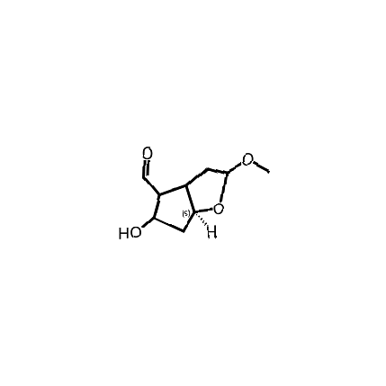 COC1CC2C(C=O)C(O)C[C@@H]2O1